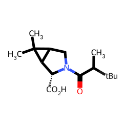 CC(C(=O)N1CC2C([C@H]1C(=O)O)C2(C)C)C(C)(C)C